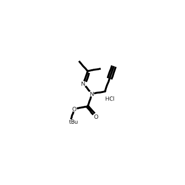 C#CCN(N=C(C)C)C(=O)OC(C)(C)C.Cl